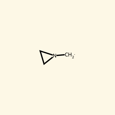 [CH2]N1CC1